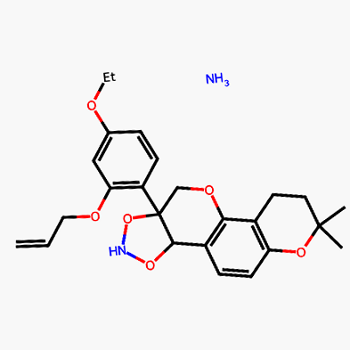 C=CCOc1cc(OCC)ccc1C12COc3c(ccc4c3CCC(C)(C)O4)C1ONO2.N